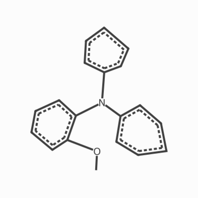 COc1ccccc1N(c1ccccc1)c1ccccc1